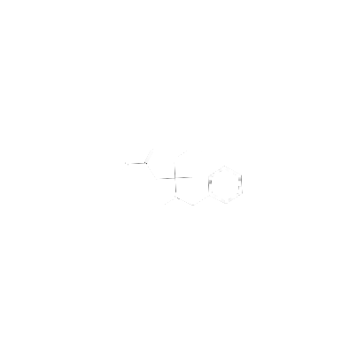 COC(C)(CC(N)=O)N(C)Cc1ccccc1